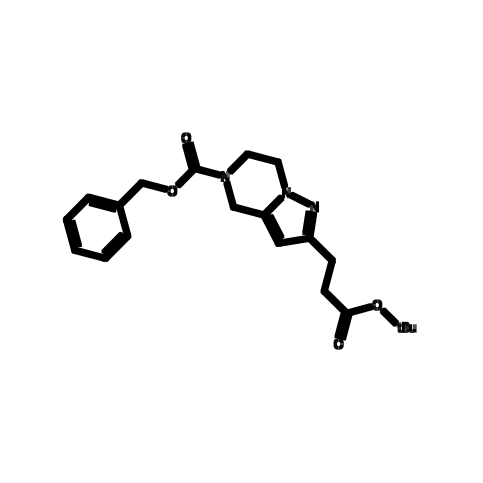 CC(C)(C)OC(=O)CCc1cc2n(n1)CCN(C(=O)OCc1ccccc1)C2